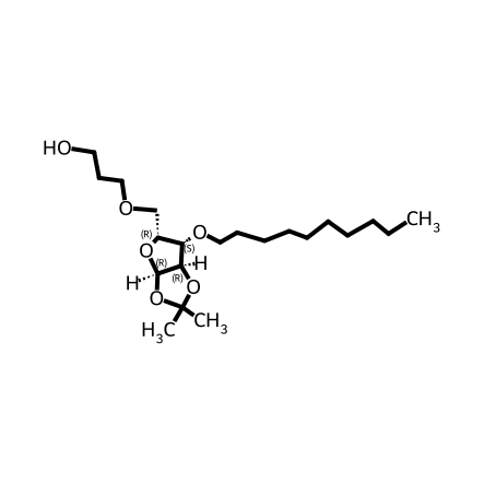 CCCCCCCCCCO[C@@H]1[C@H]2OC(C)(C)O[C@H]2O[C@@H]1COCCCO